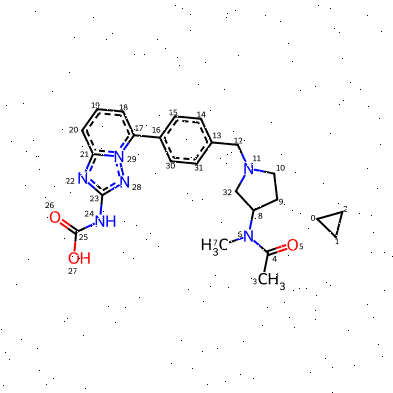 C1CC1.CC(=O)N(C)C1CCN(Cc2ccc(-c3cccc4nc(NC(=O)O)nn34)cc2)C1